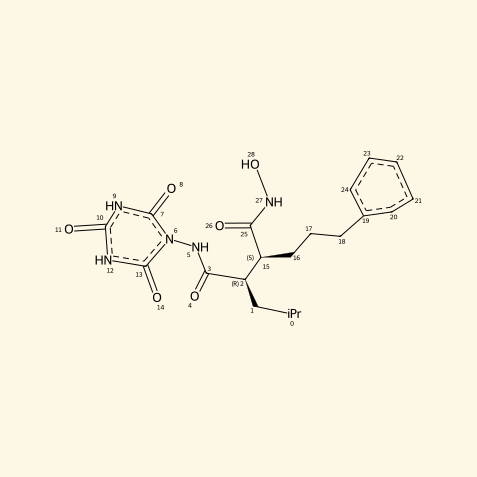 CC(C)C[C@@H](C(=O)Nn1c(=O)[nH]c(=O)[nH]c1=O)[C@H](CCCc1ccccc1)C(=O)NO